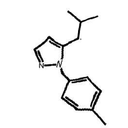 Cc1ccc(-n2nccc2[CH]C(C)C)cc1